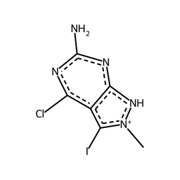 C[n+]1[nH]c2nc(N)nc(Cl)c2c1I